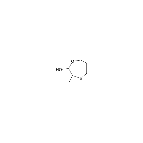 CC1SCCCOC1O